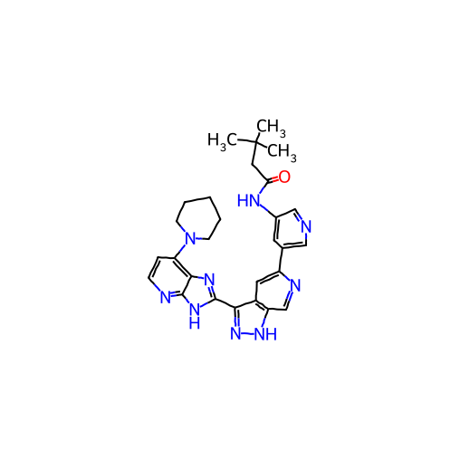 CC(C)(C)CC(=O)Nc1cncc(-c2cc3c(-c4nc5c(N6CCCCC6)ccnc5[nH]4)n[nH]c3cn2)c1